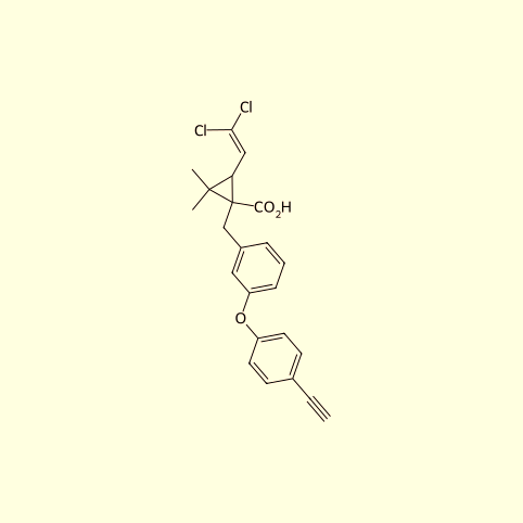 C#Cc1ccc(Oc2cccc(CC3(C(=O)O)C(C=C(Cl)Cl)C3(C)C)c2)cc1